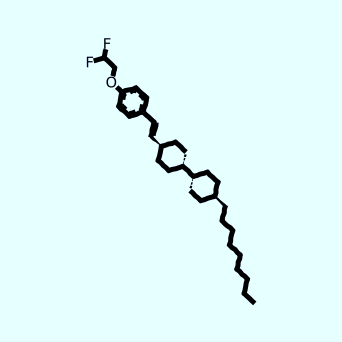 CCCCCCCCC[C@H]1CC[C@H]([C@H]2CC[C@H](C=Cc3ccc(OCC(F)F)cc3)CC2)CC1